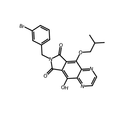 CC(C)COc1c2c(c(O)c3nccnc13)C(=O)N(Cc1cccc(Br)c1)C2=O